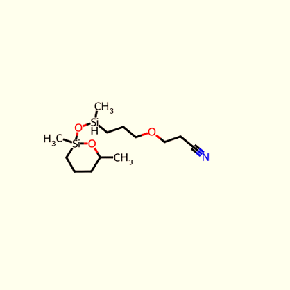 CC1CCC[Si](C)(O[SiH](C)CCCOCCC#N)O1